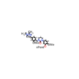 CCCCCOc1cc(N2CCCN(Cc3ccc(C/N=C(/C)N(C)C)cc3OC)C2=O)ccc1OC